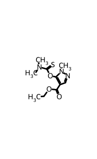 CCOC(=O)c1cnn(C)c1OC(=S)N(C)C